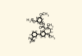 COc1cc(NC(=O)N2c3nc(-c4cccc(C(F)(F)F)c4)ccc3N(C)CC[C@H]2C)nc(OC)n1